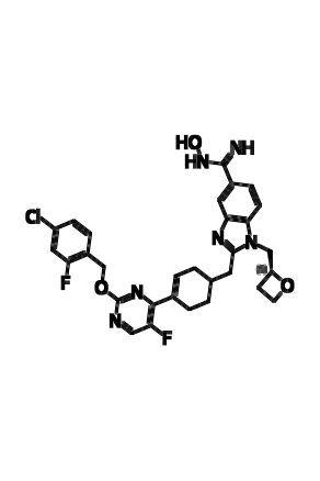 N=C(NO)c1ccc2c(c1)nc(CC1CC=C(c3nc(OCc4ccc(Cl)cc4F)ncc3F)CC1)n2C[C@@H]1CCO1